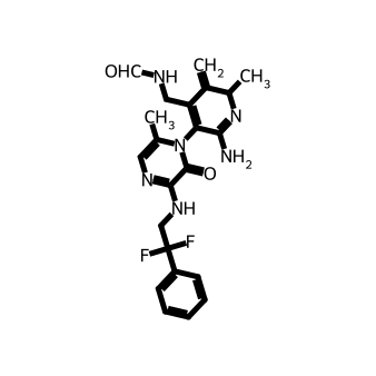 C=C1C(CNC=O)=C(n2c(C)cnc(NCC(F)(F)c3ccccc3)c2=O)C(N)=NC1C